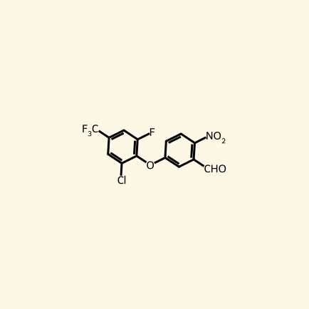 O=Cc1cc(Oc2c(F)cc(C(F)(F)F)cc2Cl)ccc1[N+](=O)[O-]